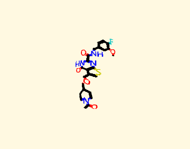 COc1cc(CNC(=O)c2nc3scc(COCC4CCN(C(C)=O)CC4)c3c(=O)[nH]2)ccc1F